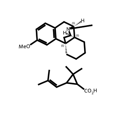 CC(C)=CC1C(C(=O)O)C1(C)C.COc1ccc2c(c1)[C@]13CCCC[C@@H]1[C@H](C2)N(C)CC3